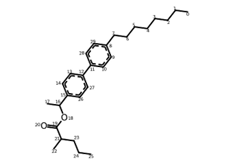 CCCCCCCCc1ccc(-c2ccc(C(C)OC(=O)C(C)CCC)cc2)cc1